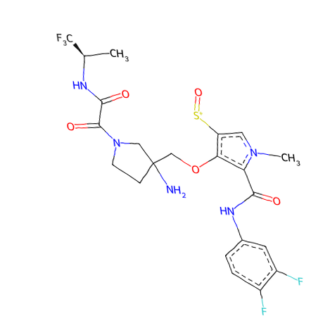 C[C@@H](NC(=O)C(=O)N1CCC(N)(COc2c([S+]=O)cn(C)c2C(=O)Nc2ccc(F)c(F)c2)C1)C(F)(F)F